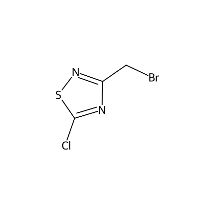 Clc1nc(CBr)ns1